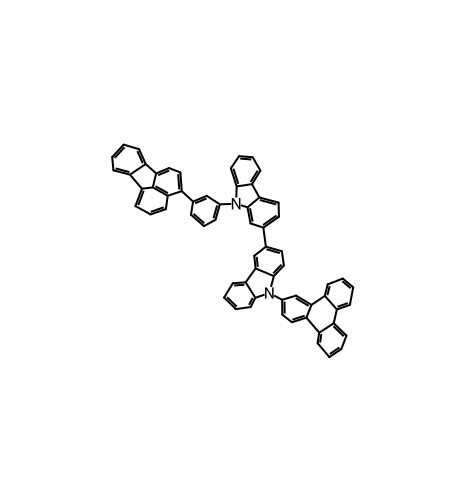 c1cc(-c2ccc3c4c(cccc24)-c2ccccc2-3)cc(-n2c3ccccc3c3ccc(-c4ccc5c(c4)c4ccccc4n5-c4ccc5c6ccccc6c6ccccc6c5c4)cc32)c1